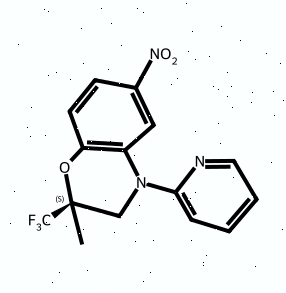 C[C@@]1(C(F)(F)F)CN(c2ccccn2)c2cc([N+](=O)[O-])ccc2O1